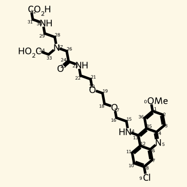 COc1ccc2nc3cc(Cl)ccc3c(NCCOCCOCCNC(=O)CN(CCNCC(=O)O)CC(=O)O)c2c1